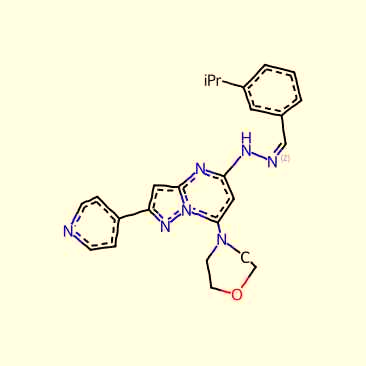 CC(C)c1cccc(/C=N\Nc2cc(N3CCOCC3)n3nc(-c4ccncc4)cc3n2)c1